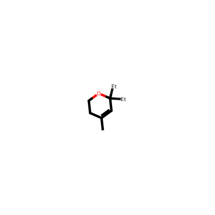 CCC1(CC)C=C(C)CCO1